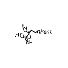 CCCCCCCC(=O)OB(O)O.[Ni]